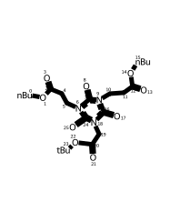 CCCCOC(=O)CCn1c(=O)n(CCC(=O)OCCCC)c(=O)n(CC(=O)OC(C)(C)C)c1=O